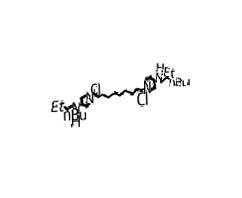 CCCCC(CC)CNc1cc[n+](C(Cl)CCCCCCCCC(Cl)[n+]2ccc(NCC(CC)CCCC)cc2)cc1